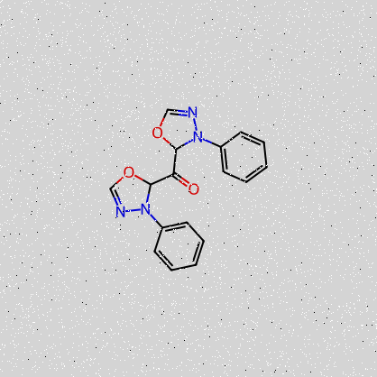 O=C(C1OC=NN1c1ccccc1)C1OC=NN1c1ccccc1